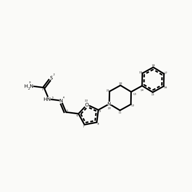 NC(=S)NN=Cc1ccc(N2CCC(c3ccccc3)CC2)o1